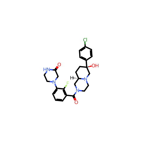 O=C1CN(c2cccc(C(=O)N3CCN4C[C@@](O)(c5ccc(Cl)cc5)CC[C@@H]4C3)c2F)CCN1